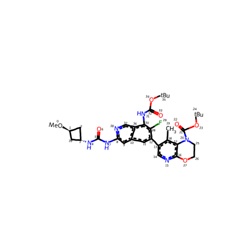 CO[C@H]1C[C@H](NC(=O)Nc2cc3cc(-c4cnc5c(c4C)N(C(=O)OC(C)(C)C)CCO5)c(F)c(NC(=O)OC(C)(C)C)c3cn2)C1